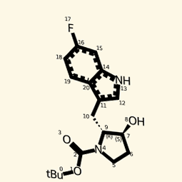 CC(C)(C)OC(=O)N1CC[C@H](O)[C@H]1Cc1c[nH]c2cc(F)ccc12